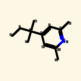 CCC(C)(C)c1cc(C)nc(C)c1